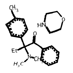 C1COCCN1.CCC(C(=O)c1ccccc1)(c1ccc(C)cc1)N(C)C